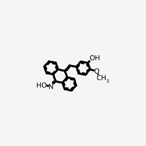 COc1ccc(C=C2c3ccccc3C(=NO)c3ccccc32)cc1O